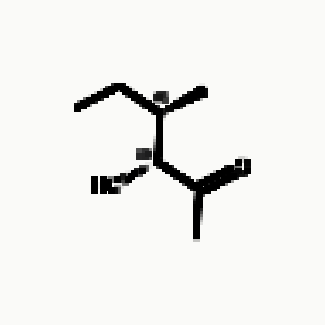 CC[C@@H](C)[C@@H](O)C(C)=O